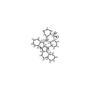 O=S1(=O)c2ccccc2B2c3c(cccc31)-n1c3c4ccccc4ccc3n3c4ccccc4c2c13